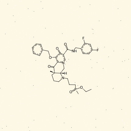 CCOP(C)(=O)CCCN1CCC[C@]2(C)C(=O)c3c(OCc4ccccc4)c(=O)c(C(=O)NCc4ccc(F)cc4F)cn3C[C@H]12